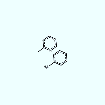 Cc1ccccn1.Nc1ccccc1